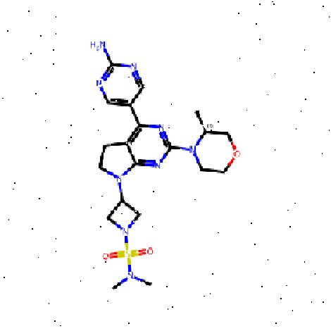 C[C@H]1COCCN1c1nc(-c2cnc(N)nc2)c2c(n1)N(C1CN(S(=O)(=O)N(C)C)C1)CC2